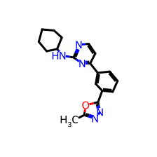 Cc1nnc(-c2cccc(-c3ccnc(NC4CCCCC4)n3)c2)o1